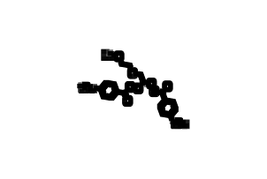 [CH2]COCCOC[C](OOC(=O)c1ccc(C(C)(C)C)cc1)OOC(=O)c1ccc(C(C)(C)C)cc1